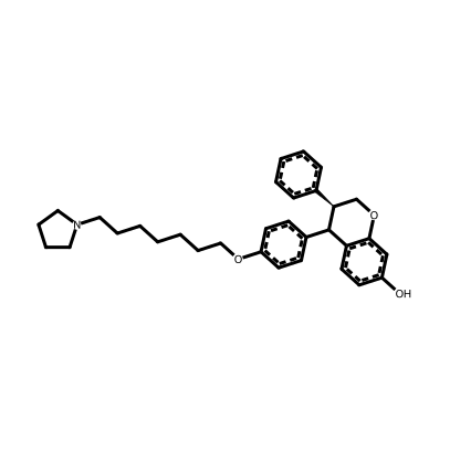 Oc1ccc2c(c1)OC[C@H](c1ccccc1)C2c1ccc(OCCCCCCCN2CCCC2)cc1